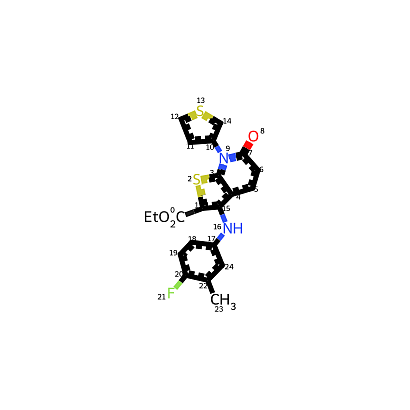 CCOC(=O)c1sc2c(ccc(=O)n2-c2ccsc2)c1Nc1ccc(F)c(C)c1